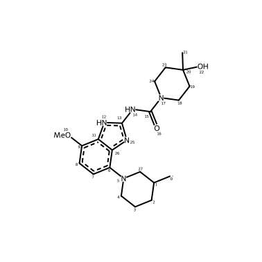 [CH2]C1CCCN(c2ccc(OC)c3[nH]c(NC(=O)N4CCC(C)(O)CC4)nc23)C1